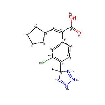 CC1(c2ccc(/C(=C\C3CCCC3)C(=O)O)cc2F)N=NN=N1